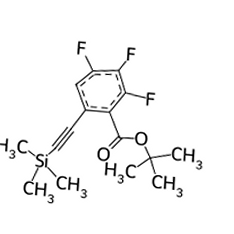 CC(C)(C)OC(=O)c1c(C#C[Si](C)(C)C)cc(F)c(F)c1F